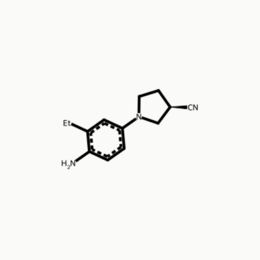 CCc1cc(N2CC[C@@H](C#N)C2)ccc1N